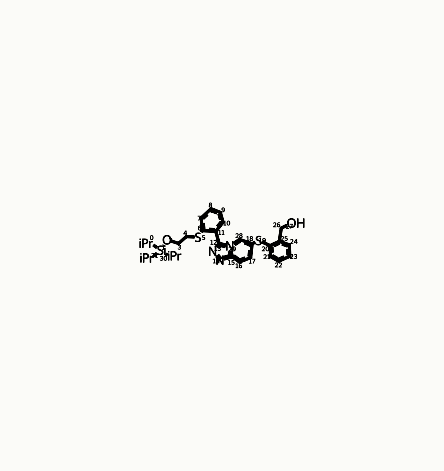 CC(C)[Si](OCCSc1ccccc1-c1nnc2ccc(Sc3ccccc3CO)cn12)(C(C)C)C(C)C